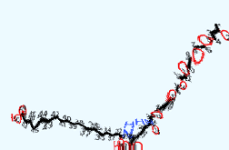 CC(=O)CCOCCOCCOCCOCCOCCOCCNC(=O)CC[C@H](NC(=O)CCCCCCCCCCCCCCCCC(=O)O)C(=O)O